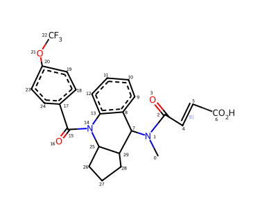 CN(C(=O)/C=C/C(=O)O)C1c2ccccc2N(C(=O)c2ccc(OC(F)(F)F)cc2)C2CCCC12